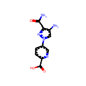 NC(=O)c1nn(-c2ccc(C(=O)O)nc2)cc1N